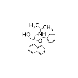 CC(C)NCC(CO)(OCc1ccccc1)c1cccc2ccccc12